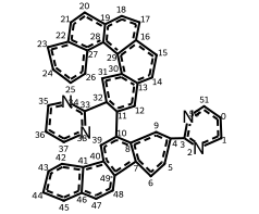 c1cnc(-c2ccc3c(c2)c(-c2cc4ccc5ccc6ccc7ccccc7c6c5c4cc2-c2ncccn2)cc2c4ccccc4ccc32)nc1